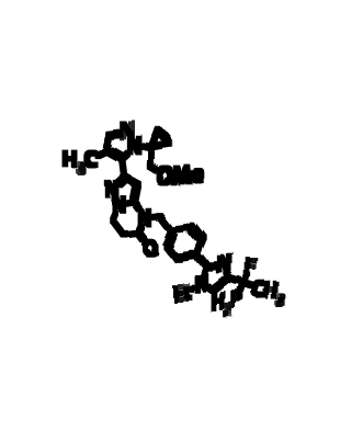 CCn1cc(C(C)(F)P)nc1-c1ccc(CN2C(=O)CCn3nc(-c4c(C)cnn4C4(COC)CC4)cc32)cc1